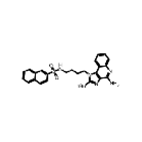 CCCCc1nc2c(N)nc3ccccc3c2n1CCCCNS(=O)(=O)c1ccc2ccccc2c1